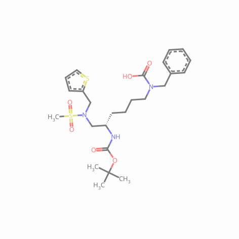 CC(C)(C)OC(=O)N[C@@H](CCCCN(Cc1ccccc1)C(=O)O)CN(Cc1cccs1)S(C)(=O)=O